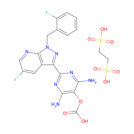 Nc1nc(-c2nn(Cc3ccccc3F)c3ncc(F)cc23)nc(N)c1OC(=O)O.O=S(=O)(O)CCS(=O)(=O)O